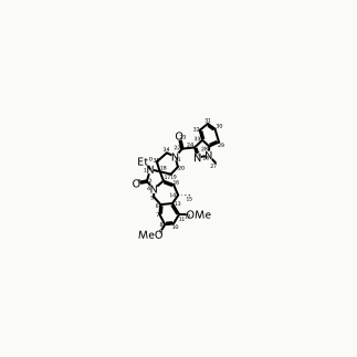 CCN1C(=O)N2Cc3cc(OC)cc(OC)c3[C@@H](C)C=C2C12CCN(C(=O)c1nn(C)c3ccccc13)CC2